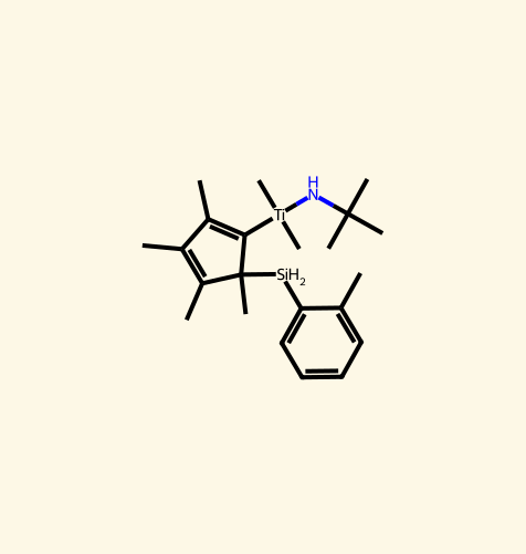 CC1=C(C)C(C)([SiH2]c2ccccc2C)[C]([Ti]([CH3])([CH3])[NH]C(C)(C)C)=C1C